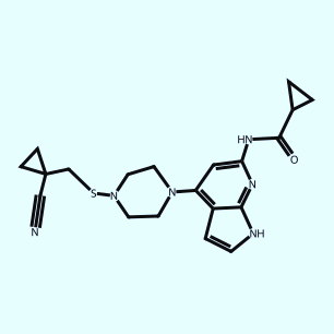 N#CC1(CSN2CCN(c3cc(NC(=O)C4CC4)nc4[nH]ccc34)CC2)CC1